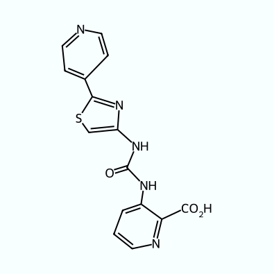 O=C(Nc1csc(-c2ccncc2)n1)Nc1cccnc1C(=O)O